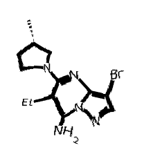 CCc1c(N2CC[C@H](C)C2)nc2c(Br)cnn2c1N